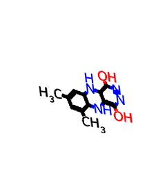 CC1=CC2NC3C(=C(O)N=NC3O)NC2C(C)=C1